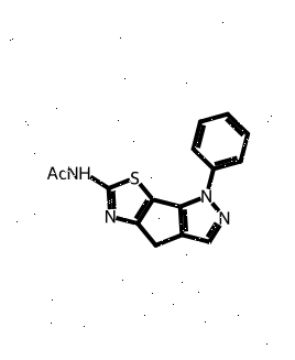 CC(=O)Nc1nc2c(s1)-c1c(cnn1-c1ccccc1)C2